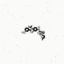 Cc1ccc(S(=O)(=O)NC(=O)Nc2ccc(-n3c(C)nc4ccc(S)cc4c3=O)c(F)c2)s1